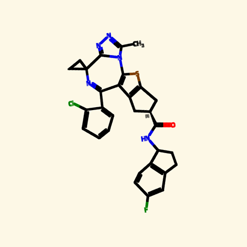 Cc1nnc2n1-c1sc3c(c1C(c1ccccc1Cl)=NC21CC1)C[C@H](C(=O)NC1CCc2cc(F)ccc21)C3